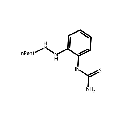 CCCCCNNc1ccccc1NC(N)=S